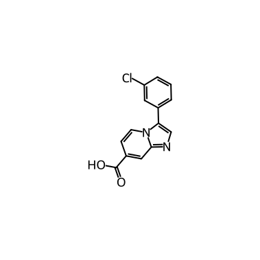 O=C(O)c1ccn2c(-c3cccc(Cl)c3)cnc2c1